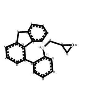 c1ccc2c(c1)Cc1cccc(-c3ccccc3OCC3CO3)c1-2